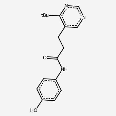 CC(C)(C)c1ncncc1CCC(=O)Nc1ccc(O)cc1